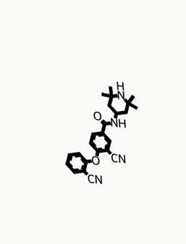 CC1(C)CC(NC(=O)c2ccc(Oc3ccccc3C#N)c(C#N)c2)CC(C)(C)N1